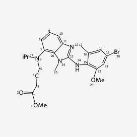 COC(=O)CCCN(c1cccc2nc(Nc3c(C)cc(Br)cc3OC)n(C)c12)C(C)C